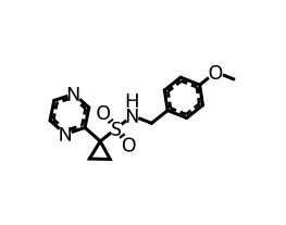 COc1ccc(CNS(=O)(=O)C2(c3cnccn3)CC2)cc1